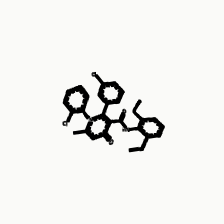 CCc1cccc(CC)c1NC(=O)c1c(-c2cccc(Cl)c2)n(-c2ccccc2Cl)c(C)cc1=O